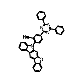 N#Cc1cc(-c2nc(-c3ccccc3)nc(-c3ccccc3)n2)ccc1-n1c2ccccc2c2cc3c(cc21)oc1ccccc13